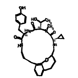 CC(O)[C@H]1C(=O)N[C@H](Cc2ccc(O)cc2)C(=O)NCCCc2cccc3c2OC(CC3)CN[C@@H](C2CC2)C(=O)N1C